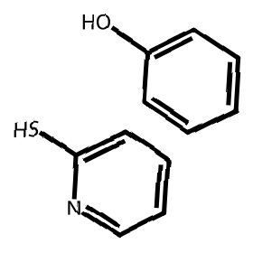 Oc1ccccc1.Sc1ccccn1